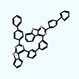 c1ccc(-c2ccc(-c3nc(-c4cccc(-c5cccc(-c6nc(-c7ccc(-c8ccccc8)cc7)nc7sc8ccccc8c67)c5)c4)c4c(n3)oc3ccccc34)cc2)cc1